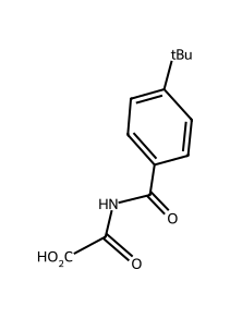 CC(C)(C)c1ccc(C(=O)NC(=O)C(=O)O)cc1